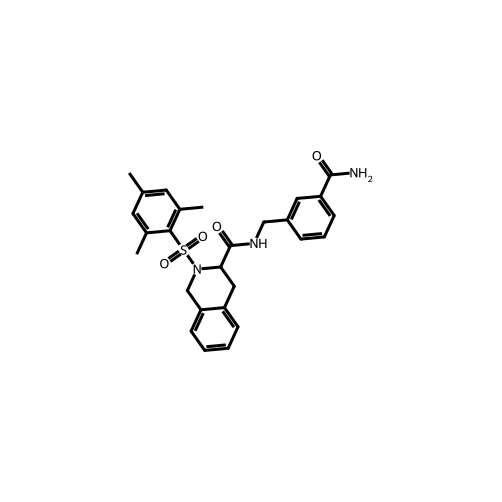 Cc1cc(C)c(S(=O)(=O)N2Cc3ccccc3CC2C(=O)NCc2cccc(C(N)=O)c2)c(C)c1